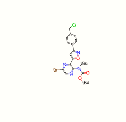 CC(C)(C)OC(=O)N(c1ncc(Br)nc1-c1cc(-c2ccc(CCl)cc2)no1)C(C)(C)C